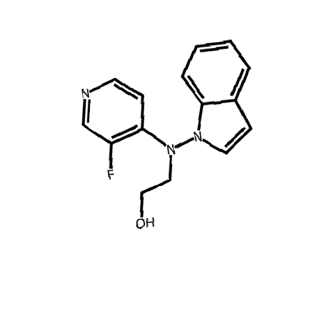 OCCN(c1ccncc1F)n1ccc2ccccc21